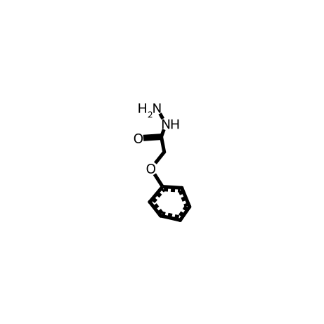 NNC(=O)COc1ccccc1